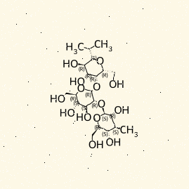 CC(C)[C@@H]1O[C@H](CO)[C@H](O[C@H]2O[C@H](CO)[C@@H](O)[C@H](O)[C@H]2O[C@@H]2O[C@H](CO)[C@@H](O)[C@H](C)[C@H]2O)[C@H](O)[C@H]1O